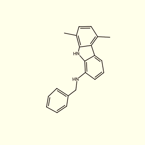 Cc1ccc(C)c2c1[nH]c1c(NCc3ccccc3)cccc12